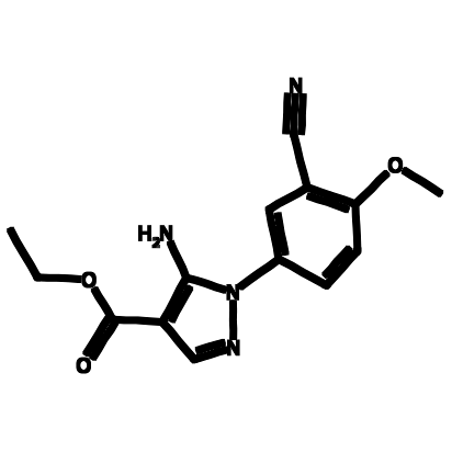 CCOC(=O)c1cnn(-c2ccc(OC)c(C#N)c2)c1N